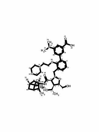 C[C@H](O)[C@@H]1[C@H](CO)ON(Cc2cccc(-c3cc(C(=O)O)cc(N(C)C)c3)c2OCCN2CCOCC2)[C@@H]1C(=O)N[C@H]1C[C@H]2CC([C@@H]1C)C2(C)C